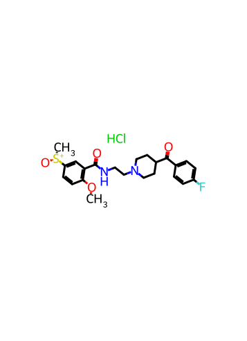 COc1ccc([S+](C)[O-])cc1C(=O)NCCN1CCC(C(=O)c2ccc(F)cc2)CC1.Cl